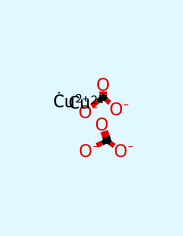 O=C([O-])[O-].O=C([O-])[O-].[Cu+2].[Cu+2]